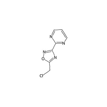 ClCc1nc(-c2ncccn2)no1